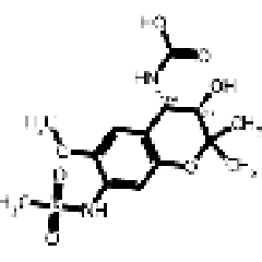 COc1cc2c(cc1NS(C)(=O)=O)OC(C)(C)[C@H](O)[C@H]2NC(=O)O